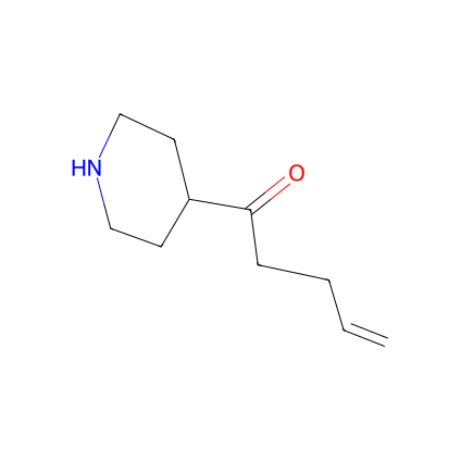 C=CCCC(=O)C1CCNCC1